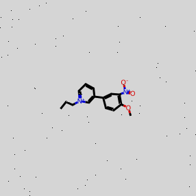 CCC[n+]1cccc(-c2ccc(OC)c([N+](=O)[O-])c2)c1